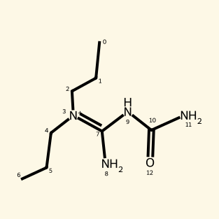 CCC[N+](CCC)=C(N)NC(N)=O